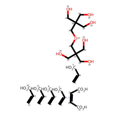 C=CC(=O)O.C=CC(=O)O.C=CC(=O)O.C=CC(=O)O.C=CC(=O)O.O=C(O)/C=C\C(=O)O.OCC(CO)(CO)COCC(CO)(CO)CO